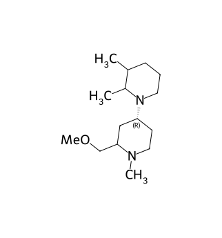 COCC1C[C@H](N2CCCC(C)C2C)CCN1C